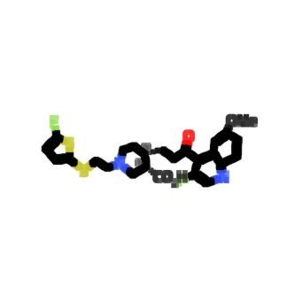 COc1ccc2ncc(F)c(C(=O)CC[C@H]3CCN(CCSc4ccc(F)s4)C[C@H]3C(=O)O)c2c1